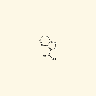 O=C(O)c1snc2cccnc12